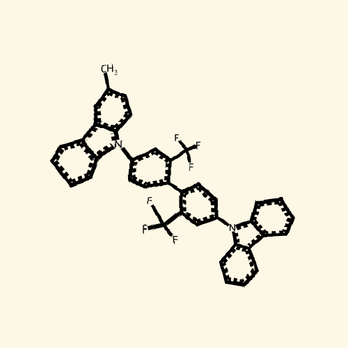 Cc1ccc2c(c1)c1ccccc1n2-c1ccc(-c2ccc(-n3c4ccccc4c4ccccc43)cc2C(F)(F)F)c(C(F)(F)F)c1